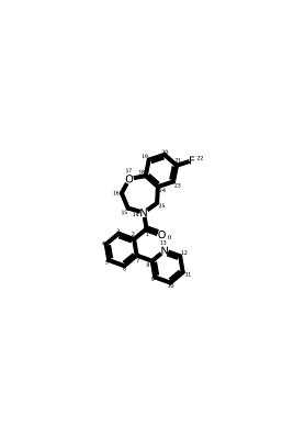 O=C(c1ccccc1-c1ccccn1)N1CCOc2ccc(F)cc2C1